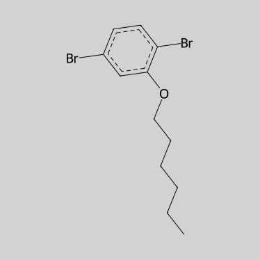 CCCCCCOc1cc(Br)ccc1Br